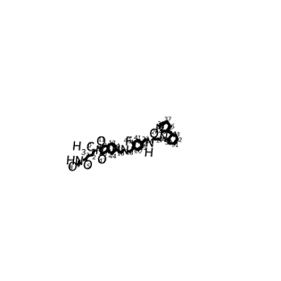 CC(CCC(=O)NC=O)N1C(=O)c2ccc(CNCc3ccc(CNC(=O)Cn4c5ccccc5c5cccnc54)cc3F)cc2C1=O